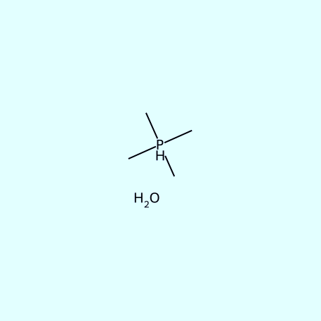 C[PH](C)(C)C.O